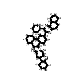 C1=CNC(c2nc3c(ccc4ccccc43)nc2-c2ccc3c(c2)c2ccccc2c2nc4cc5c(cn4c32)oc2ccccc25)C=C1